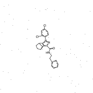 O=C(NCCc1ccccc1)c1nn(-c2ccc(Cl)cc2Cl)c2c1C1CCC2C1